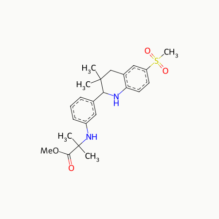 COC(=O)C(C)(C)Nc1cccc(C2Nc3ccc(S(C)(=O)=O)cc3CC2(C)C)c1